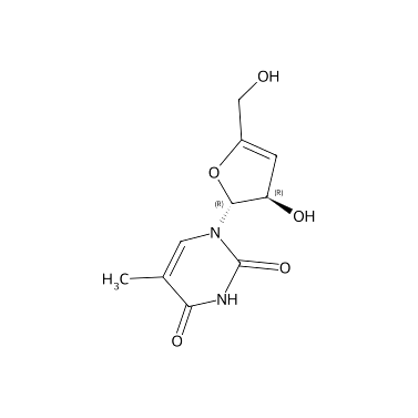 Cc1cn([C@@H]2OC(CO)=C[C@H]2O)c(=O)[nH]c1=O